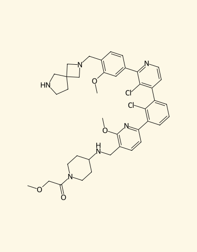 COCC(=O)N1CCC(NCc2ccc(-c3cccc(-c4ccnc(-c5ccc(CN6CC7(CCNC7)C6)c(OC)c5)c4Cl)c3Cl)nc2OC)CC1